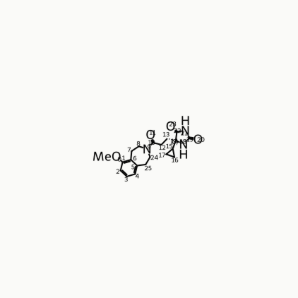 COc1cccc2c1CCN(C(=O)CC[C@@]1(C3CC3)NC(=O)NC1=O)CC2